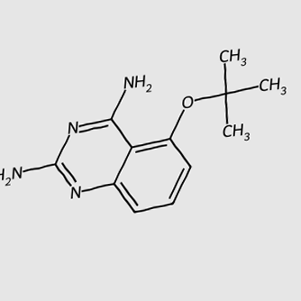 CC(C)(C)Oc1cccc2nc(N)nc(N)c12